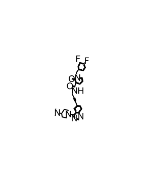 CN(C)C1CCN(c2ncnc3ccc(C#CCNC(=O)c4cccn(Cc5ccc(F)c(F)c5)c4=O)cc23)CC1